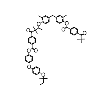 CCC(C)(C)Oc1ccc(Oc2ccc(OC(=O)c3ccc(C(=O)C(C)(C)C(C)Oc4ccc(Cc5ccc(OC(=O)c6ccc(C(=O)C(C)(C)C)cc6)c(C)c5)cc4C)cc3)cc2)cc1